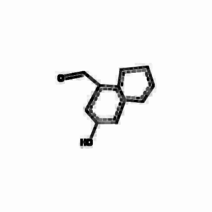 O=Cc1cc(O)cc2ccccc12